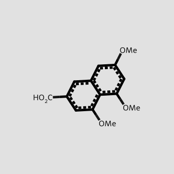 COc1cc(OC)c2c(OC)cc(C(=O)O)cc2c1